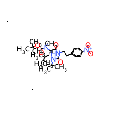 CC(C)C[C@@H](C(=O)N(CCc1ccc([N+](=O)[O-])cc1)C(=O)NC(C)(C)C)N(C)C(=O)OC(C)(C)C